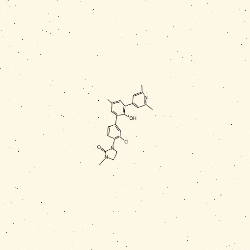 Cc1cc(-c2cc(C)nc(C)c2)c(O)c(-c2ccc(N3CCN(C)C3=O)c(Cl)c2)c1